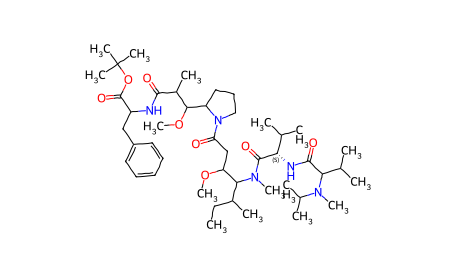 CCC(C)C(C(CC(=O)N1CCCC1C(OC)C(C)C(=O)NC(Cc1ccccc1)C(=O)OC(C)(C)C)OC)N(C)C(=O)[C@@H](NC(=O)C(C(C)C)N(C)C(C)C)C(C)C